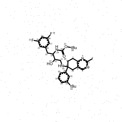 Cc1ncc2c(n1)CCC(NCC(O)C(Cc1cc(F)cc(F)c1)NC(=O)OC(C)(C)C)(c1cccc(C(C)(C)C)c1)C2